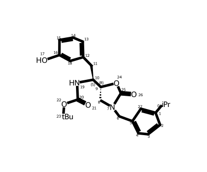 CC(C)c1cccc(CN2C[C@H]([C@H](Cc3cccc(O)c3)NC(=O)OC(C)(C)C)OC2=O)c1